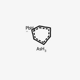 [AsH3].[PbH2].c1ccccc1